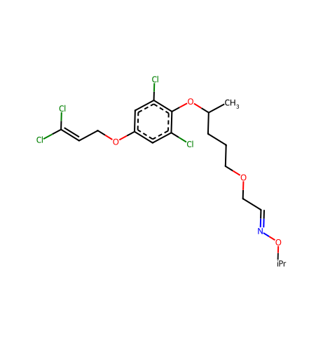 CC(C)ON=CCOCCCC(C)Oc1c(Cl)cc(OCC=C(Cl)Cl)cc1Cl